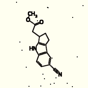 COC(=O)CC1CCc2c1[nH]c1ccc(C#N)cc21